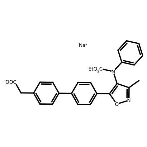 CCOC(=O)N(c1ccccc1)c1c(C)noc1-c1ccc(-c2ccc(CC(=O)[O-])cc2)cc1.[Na+]